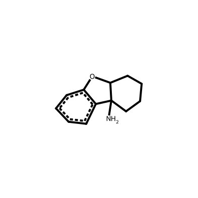 NC12CCCCC1Oc1ccccc12